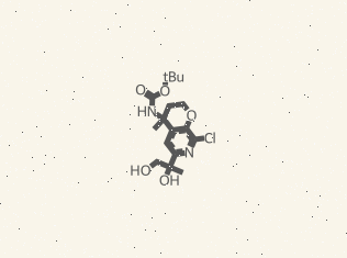 CC(C)(C)OC(=O)NC1(C)CCOc2c1cc(C(C)(O)CO)nc2Cl